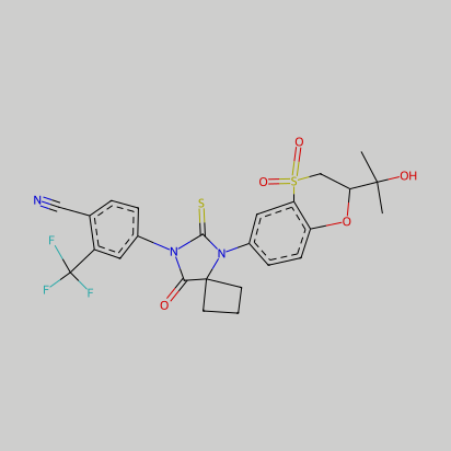 CC(C)(O)C1CS(=O)(=O)c2cc(N3C(=S)N(c4ccc(C#N)c(C(F)(F)F)c4)C(=O)C34CCC4)ccc2O1